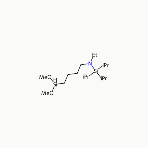 CCN(CCCC[SiH](OC)OC)[Si](C(C)C)(C(C)C)C(C)C